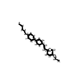 CCCCCc1ccc(-c2ccc(C=Cc3ccc(OCC)cc3)cc2)cc1